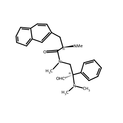 CN[C@H](Cc1ccc2ccccc2c1)C(=O)N(C)C[C@@](C=O)(c1ccccc1)N(C)C